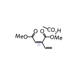 C=C/C(=C/C(=O)OC)C(=O)OC.CC(=O)O